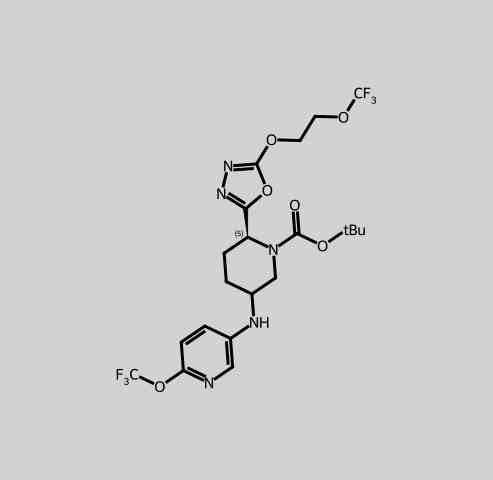 CC(C)(C)OC(=O)N1CC(Nc2ccc(OC(F)(F)F)nc2)CC[C@H]1c1nnc(OCCOC(F)(F)F)o1